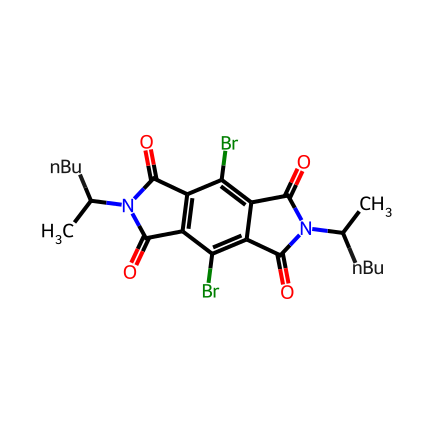 CCCCC(C)n1c(=O)c2c(Br)c3c(=O)n(C(C)CCCC)c(=O)c3c(Br)c2c1=O